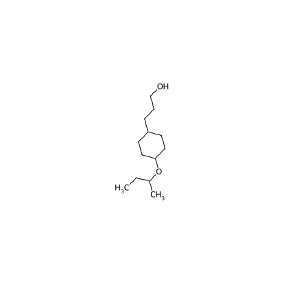 CCC(C)OC1CCC(CCCO)CC1